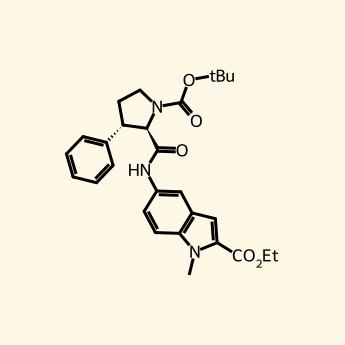 CCOC(=O)c1cc2cc(NC(=O)[C@H]3[C@H](c4ccccc4)CCN3C(=O)OC(C)(C)C)ccc2n1C